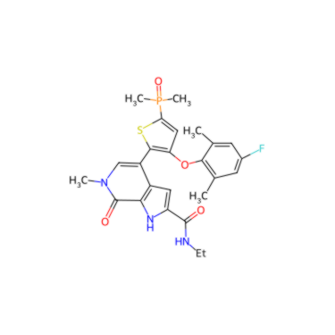 CCNC(=O)c1cc2c(-c3sc(P(C)(C)=O)cc3Oc3c(C)cc(F)cc3C)cn(C)c(=O)c2[nH]1